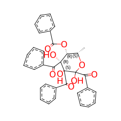 C[C@@H]1OC(O)(C(=O)c2ccccc2)[C@](O)(C(=O)c2ccccc2)[C@@](O)(C(=O)c2ccccc2)[C@@H]1OC(=O)c1ccccc1